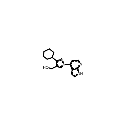 OCc1cn(-c2ccnc3[nH]ccc23)nc1C1CCCCC1